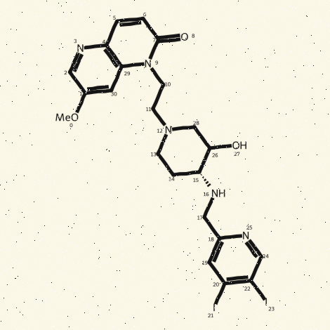 COc1cnc2ccc(=O)n(CCN3CC[C@@H](NCc4cc(I)c(I)cn4)C(O)C3)c2c1